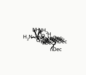 CCCCCCCCCCCCCCC(CCCCCCCCCC)C(CCCCCCCCCC)(CCCCCCCCCC)C(CCCCCCCCCC)(CCCCCCCCCC)C(CCCCCCCCCC)(CCCCCCCCCC)NC(=O)CNC(=O)CNC(=O)[C@H](CCCN)N(CCCN)CCCN